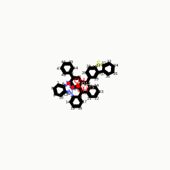 BC(O)(O)c1nc2ccccc2n1-c1ccccc1-c1c2ccccc2c(-c2ccc3sc4ccccc4c3c2)c2cc(-c3ccccc3)ccc12